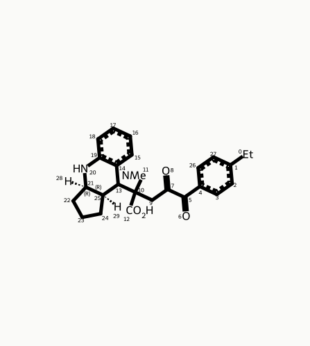 CCc1ccc(C(=O)C(=O)CC(NC)(C(=O)O)C2c3ccccc3N[C@@H]3CCC[C@H]23)cc1